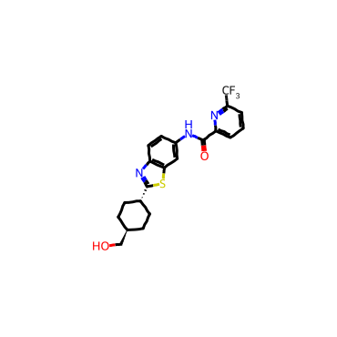 O=C(Nc1ccc2nc([C@H]3CC[C@H](CO)CC3)sc2c1)c1cccc(C(F)(F)F)n1